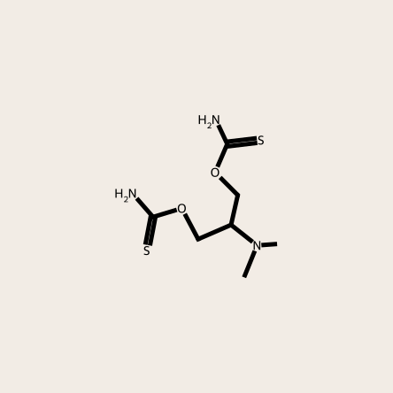 CN(C)C(COC(N)=S)COC(N)=S